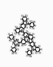 c1ccc(-c2nc(-c3ccccc3)nc(-c3ccc(-n4c5ccccc5c5cc6c7ccccc7n(-c7ccccc7)c6cc54)c(-c4cc(-n5c6ccccc6c6cc7c8ccccc8n(-c8ccccc8)c7cc65)ccn4)c3)n2)cc1